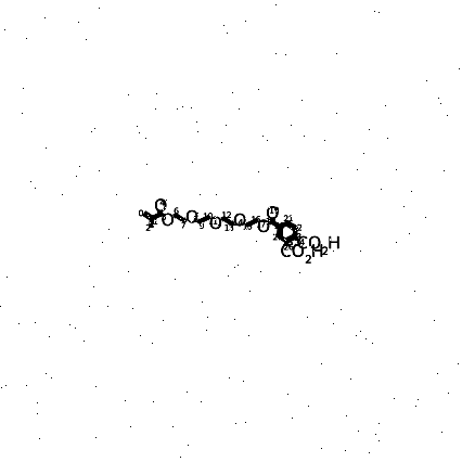 C=C(C)C(=O)OCCOCCOCCOCCOC(=O)c1ccc(C(=O)O)c(C(=O)O)c1